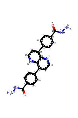 NNC(=O)c1ccc(-c2ccnc3c(-c4ccc(C(=O)NN)cc4)ccnc23)cc1